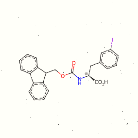 O=C(N[C@@H](Cc1cccc(I)c1)C(=O)O)OCC1c2ccccc2-c2ccccc21